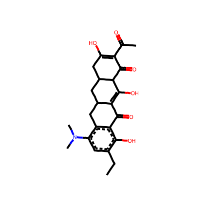 CCc1cc(N(C)C)c2c(c1O)C(=O)C1=C(O)C3C(=O)C(C(C)=O)=C(O)CC3CC1C2